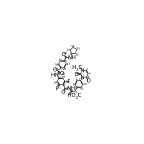 Cn1ccc(=O)n(-c2ccc(C[C@H](NC(=O)c3c(F)cc(NS(=O)(=O)c4ccc(C(=O)NC5CCCC5)cc4)cc3F)C(=O)O)cc2)c1=O